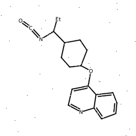 CCC(N=C=O)C1CCC(Oc2ccnc3ccccc23)CC1